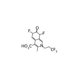 CC1=C(C(=O)O)C2=CC(F)C(=O)C(F)C2=CN1CCC(F)(F)F